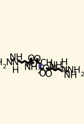 C/C(=C\C(=O)OC(=O)[C@@H](N)CCCNC(=N)N)C(=O)OC(=O)[C@@H](N)CCCNC(=N)N